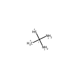 CC(N)(N)S